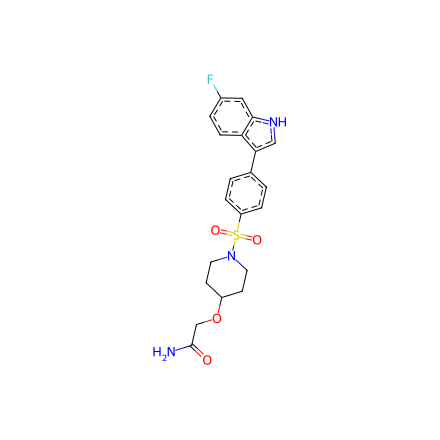 NC(=O)COC1CCN(S(=O)(=O)c2ccc(-c3c[nH]c4cc(F)ccc34)cc2)CC1